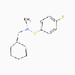 CN(CC1CCCCC1)Sc1ccc(F)cc1